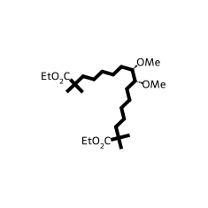 CCOC(=O)C(C)(C)CCCCC[C@H](OC)[C@@H](CCCCCC(C)(C)C(=O)OCC)OC